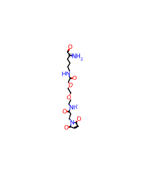 N[C@H](C=O)CCCCNC(=O)COCCOCCNC(=O)CCN1C(=O)C=CC1=O